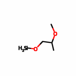 COC(C)CO[SiH3]